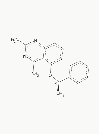 C[C@@H](Oc1cccc2nc(N)nc(N)c12)c1ccccc1